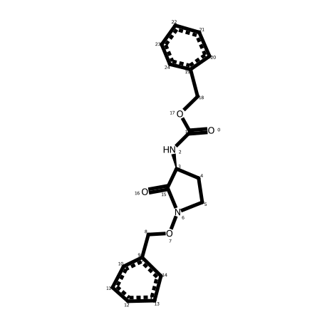 O=C(N[C@H]1CCN(OCc2ccccc2)C1=O)OCc1ccccc1